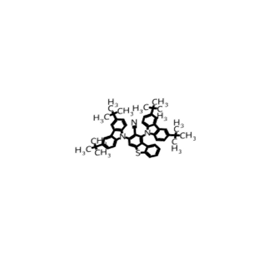 CC(C)(C)c1ccc2c(c1)c1cc(C(C)(C)C)ccc1n2-c1cc2sc3ccccc3c2c(-n2c3ccc(C(C)(C)C)cc3c3cc(C(C)(C)C)ccc32)c1C#N